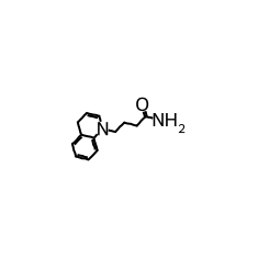 NC(=O)CCCN1C=CCc2ccccc21